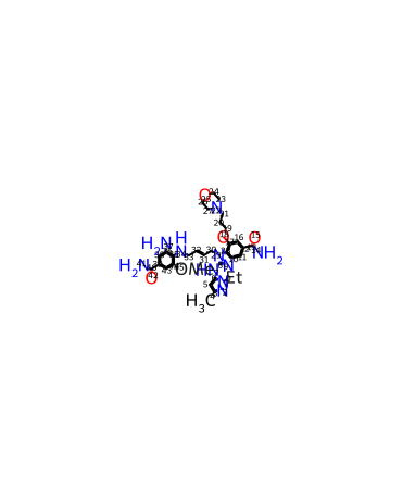 CCn1nc(C)cc1Nc1nc2cc(C(N)=O)cc(OCCCN3CCOCC3)c2n1C/C=C/CNc1c(N)cc(C(N)=O)cc1OC